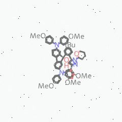 COc1ccc(-c2cc(-c3ccc(C(C)(C)C)cc3C3(O)c4cc(N(c5ccc(OC)cc5)c5ccc(OC)cc5)ccc4-c4ccc(N(c5ccc(OC)cc5)c5ccc(OC)cc5)cc43)n(C3CCCCO3)n2)cc1